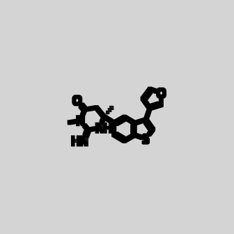 CN1C(=N)N[C@](C)(c2ccc3scc(-c4ccoc4)c3c2)CC1=O